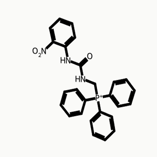 O=C(NC[P+](c1ccccc1)(c1ccccc1)c1ccccc1)Nc1ccccc1[N+](=O)[O-]